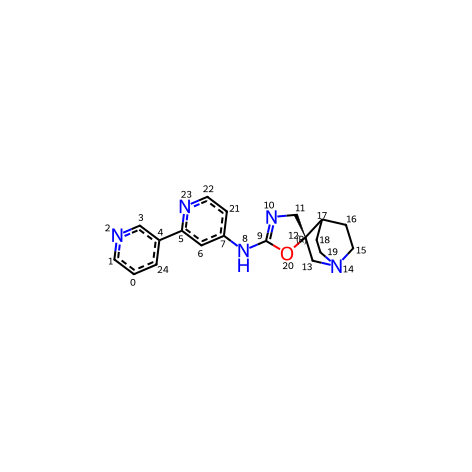 c1cncc(-c2cc(NC3=NC[C@@]4(CN5CCC4CC5)O3)ccn2)c1